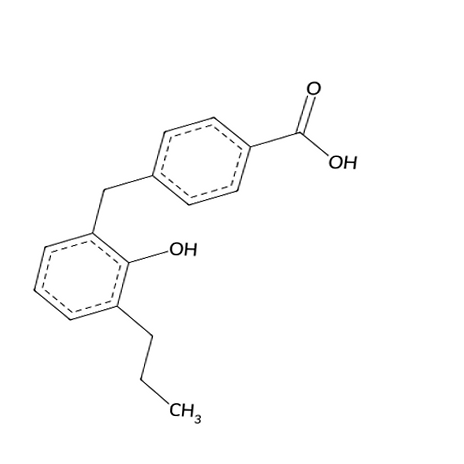 CCCc1cccc(Cc2ccc(C(=O)O)cc2)c1O